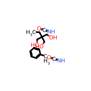 CCC(CO)(CO)CO.Cc1ccccc1.N=C=O.N=C=O